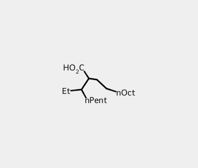 CCCCCCCCCCC(C(=O)O)C(CC)CCCCC